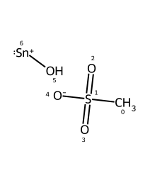 CS(=O)(=O)[O-].[OH][Sn+]